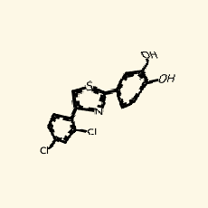 Oc1ccc(-c2nc(-c3ccc(Cl)cc3Cl)cs2)cc1O